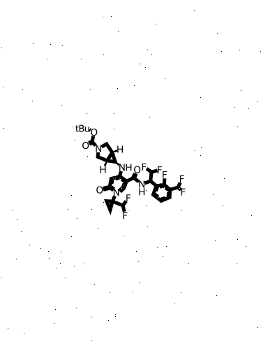 CC(C)(C)OC(=O)N1C[C@@H]2[C@H](C1)[C@H]2Nc1cc(=O)n(C2(C(F)F)CC2)cc1C(=O)NC(c1cccc(C(F)F)c1F)C(F)F